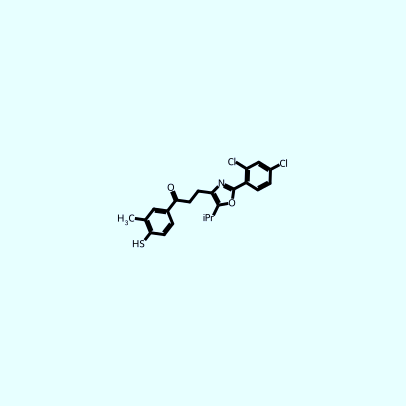 Cc1cc(C(=O)CCc2nc(-c3ccc(Cl)cc3Cl)oc2C(C)C)ccc1S